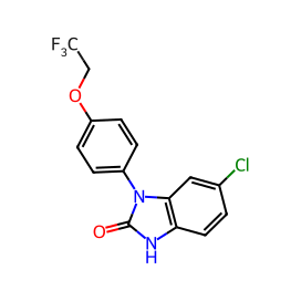 O=c1[nH]c2ccc(Cl)cc2n1-c1ccc(OCC(F)(F)F)cc1